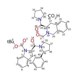 CC(C)(C)OC(=O)N1c2ccccc2C[C@@H]1C(=O)N1[C@H](C(=O)N2Cc3ccccc3C[C@@H]2C(=O)N2CCC[C@@H]2C(=O)O)CC[C@H]1c1ccccc1